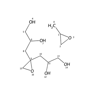 CC1CO1.OCC(O)CC1(CC(O)CO)CO1